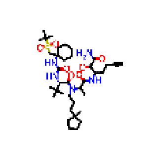 C#CCCC(NC(=O)C(C)N(CCCC1(C)CCCC1)C(=O)[C@@H](NC(=O)NC1(CS(=O)(=O)C(C)(C)C)CCCCC1)C(C)(C)C)C(=O)C(N)=O